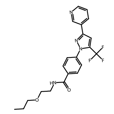 CCCOCCNC(=O)c1ccc(-n2nc(-c3cccnc3)cc2C(F)(F)F)cc1